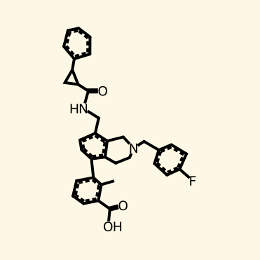 Cc1c(C(=O)O)cccc1-c1ccc(CNC(=O)C2CC2c2ccccc2)c2c1CCN(Cc1ccc(F)cc1)C2